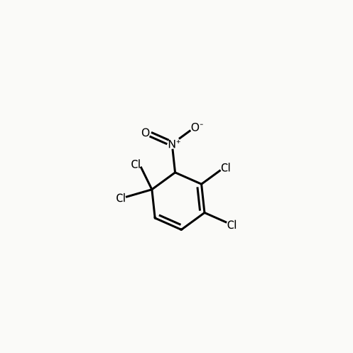 O=[N+]([O-])C1C(Cl)=C(Cl)C=CC1(Cl)Cl